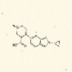 C[C@H]1CC=C(c2ccc3cn(C4CC4)nc3c2)N(C(=O)O)C1